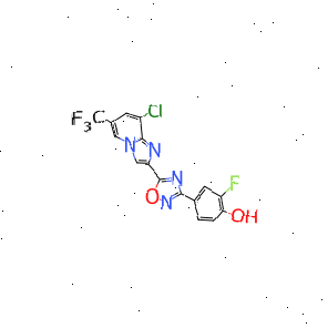 Oc1ccc(-c2noc(-c3cn4cc(C(F)(F)F)cc(Cl)c4n3)n2)cc1F